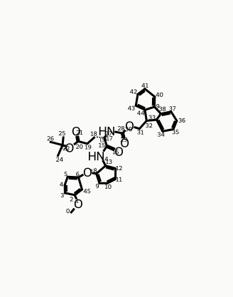 COc1cccc(Oc2ccccc2NC(=O)[C@H](CCC(=O)OC(C)(C)C)NC(=O)OCC2c3ccccc3-c3ccccc32)c1